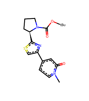 Cn1ccc(-c2csc([C@H]3CCCN3C(=O)OC(C)(C)C)n2)cc1=O